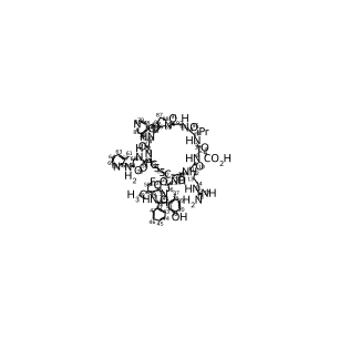 CC(C)[C@@H]1NC(=O)[C@H](CC(=O)O)NC(=O)[C@H](CCCNC(=N)N)NC(=O)[C@@H](NC(=O)[C@H](Cc2ccc(O)cc2)NC(=O)[C@H](NC(=O)c2ccccc2)C(C)CF)CSSC[C@@H](C(=O)N[C@@H](Cc2cccnc2)C(N)=O)NC(=O)[C@H](Cc2cccnc2)NC(=O)[C@@H]2CCCN2C(=O)CNC1=O